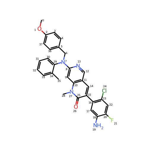 COc1ccc(CN(c2cc3c(cn2)cc(-c2cc(N)c(F)cc2Cl)c(=O)n3C)c2ccccc2C)cc1